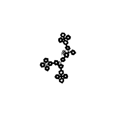 c1ccc(N(c2ccc(C3CCC(C(c4ccccc4)(c4ccccc4)C4CCCCC4)CC3)cc2)c2ccc(-c3ccc(-n4c5ccc(-c6ccc([Si](c7ccccc7)(c7ccccc7)c7ccccc7)cc6)cc5c5cc(C6CCC(C(c7ccccc7)(c7ccccc7)C7CCCCC7)CC6)ccc54)cc3)c3nsnc23)cc1